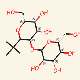 CC(C)(C)C1O[C@H](CO)[C@@H](O)[C@H](O)[C@H]1OC1O[C@H](CO)[C@@H](O)[C@H](O)[C@H]1O